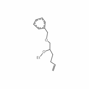 C=CCCC(COCc1ccccc1)OCC